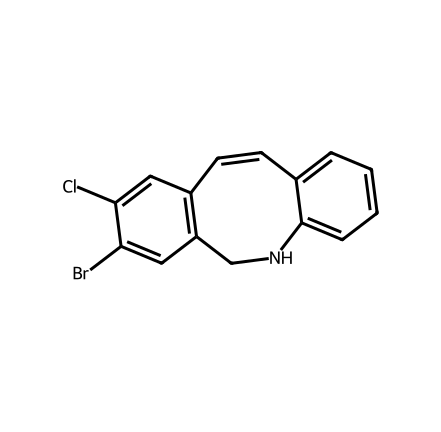 Clc1cc2c(cc1Br)CNc1ccccc1/C=C\2